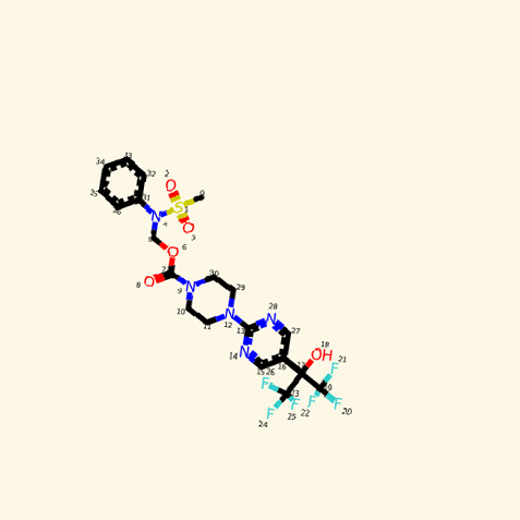 CS(=O)(=O)N(COC(=O)N1CCN(c2ncc(C(O)(C(F)(F)F)C(F)(F)F)cn2)CC1)c1ccccc1